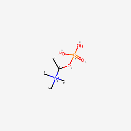 CC(OP(=O)(O)O)[N+](C)(C)C